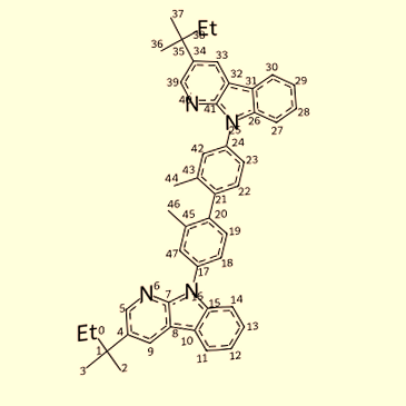 CCC(C)(C)c1cnc2c(c1)c1ccccc1n2-c1ccc(-c2ccc(-n3c4ccccc4c4cc(C(C)(C)CC)cnc43)cc2C)c(C)c1